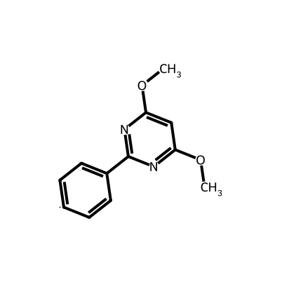 COc1cc(OC)nc(-c2cc[c]cc2)n1